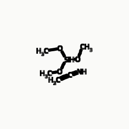 C=C=N.CO[SiH](OC)OC